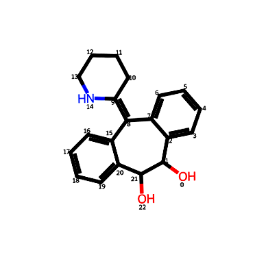 OC1c2ccccc2C(=C2CCCCN2)c2ccccc2C1O